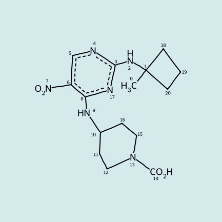 CC1(Nc2ncc([N+](=O)[O-])c(NC3CCN(C(=O)O)CC3)n2)CCC1